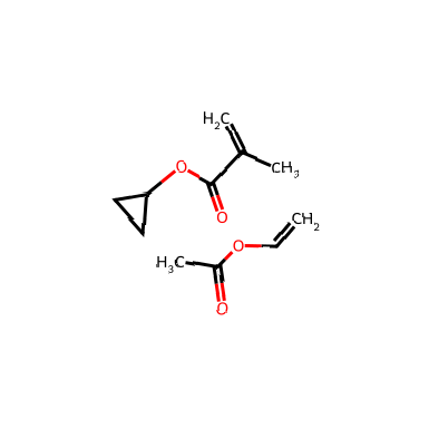 C=C(C)C(=O)OC1CC1.C=COC(C)=O